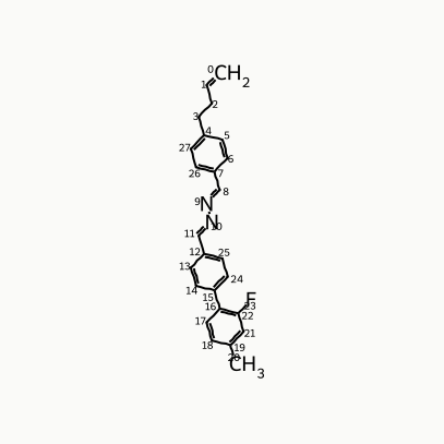 C=CCCc1ccc(C=NN=Cc2ccc(-c3ccc(C)cc3F)cc2)cc1